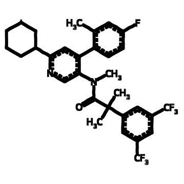 Cc1cc(F)ccc1-c1cc(C2C[CH]CCC2)ncc1N(C)C(=O)C(C)(C)c1cc(C(F)(F)F)cc(C(F)(F)F)c1